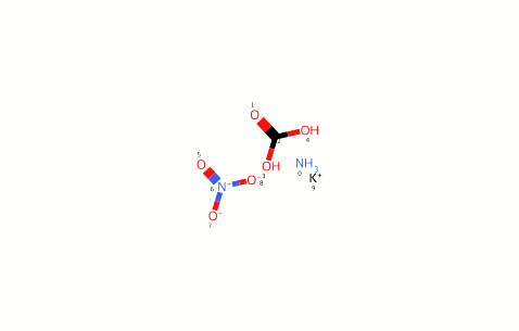 N.O=C(O)O.O=[N+]([O-])[O-].[K+]